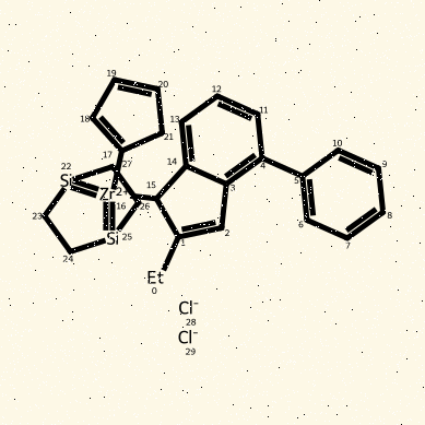 CCC1=Cc2c(-c3ccccc3)cccc2[CH]1[Zr+2]1([C]2=CC=CC2)=[Si]2CC[Si]=1CC2.[Cl-].[Cl-]